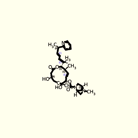 C/C(=C\C=C\[C@@H](C)c1ccccn1)[C@H]1OC(=O)C[C@H](O)CC[C@@](C)(O)[C@@H](OC(=O)N2C[C@@H]3C[C@H]2CN3C)/C=C/[C@@H]1C